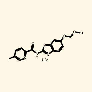 Br.CCOCOc1ccc2nc(NC(=O)c3ccc(I)cn3)sc2c1